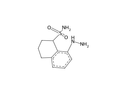 NNc1cccc2c1C(S(N)(=O)=O)CCC2